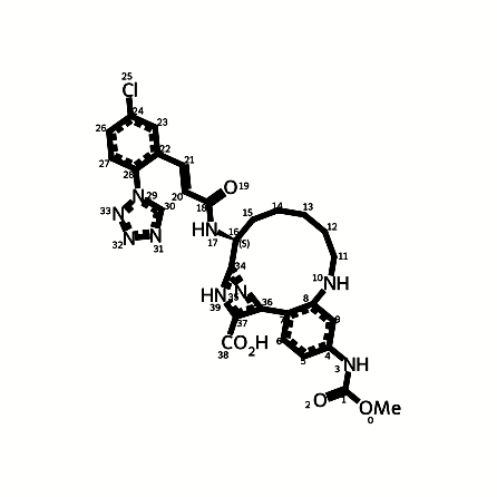 COC(=O)Nc1ccc2c(c1)NCCCCC[C@H](NC(=O)C=Cc1cc(Cl)ccc1-n1cnnn1)c1nc-2c(C(=O)O)[nH]1